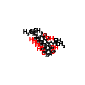 CC(C)=CCc1c2c(O)c3c(=O)cc([C@H](O)CC=C(C)C)c(O)c3c(O)c2c2c(O)c3c(=O)ccc(=O)c3c(O)c12